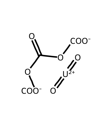 O=C([O-])OC(=O)OC(=O)[O-].[O]=[U+2]=[O]